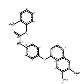 COc1cc2nccc(Oc3ccc(NC(=O)Oc4ccccc4OC)cc3)c2cc1OC